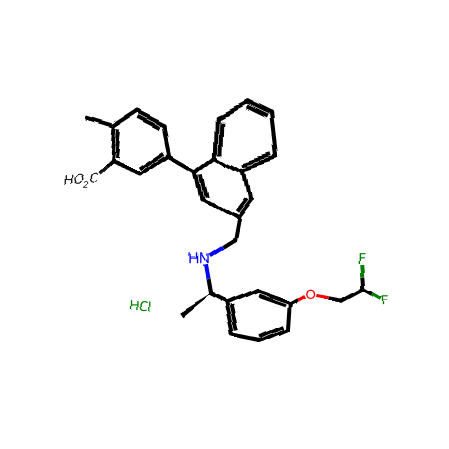 Cc1ccc(-c2cc(CN[C@H](C)c3cccc(OCC(F)F)c3)cc3ccccc23)cc1C(=O)O.Cl